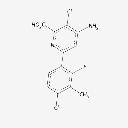 Cc1c(Cl)ccc(-c2cc(N)c(Cl)c(C(=O)O)n2)c1F